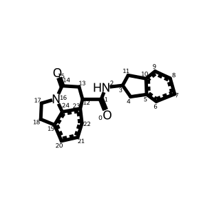 O=C(NC1Cc2ccccc2C1)C1CC(=O)N2CCc3cccc1c32